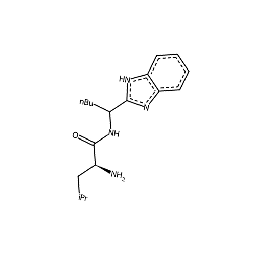 CCCCC(NC(=O)[C@@H](N)CC(C)C)c1nc2ccccc2[nH]1